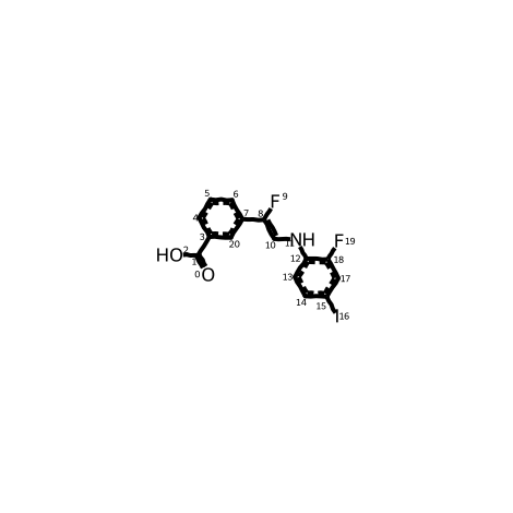 O=C(O)c1cccc(C(F)=CNc2ccc(I)cc2F)c1